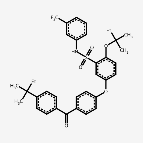 CCC(C)(C)Oc1ccc(Oc2ccc(C(=O)c3ccc(C(C)(C)CC)cc3)cc2)cc1S(=O)(=O)Nc1cccc(C(F)(F)F)c1